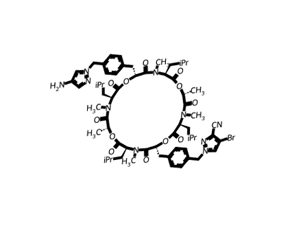 CC(C)C[C@H]1C(=O)O[C@H](Cc2ccc(Cn3cc(Br)c(C#N)n3)cc2)C(=O)N(C)[C@@H](CC(C)C)C(=O)O[C@H](C)C(=O)N(C)[C@@H](CC(C)C)C(=O)O[C@H](Cc2ccc(Cn3cc(N)cn3)cc2)C(=O)N(C)[C@@H](CC(C)C)C(=O)O[C@H](C)C(=O)N1C